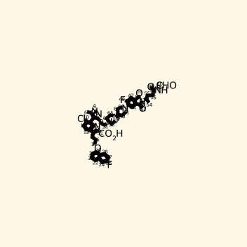 Cc1nn(C)c(C)c1-c1c(Cl)ccc2c(CCCOc3cccc4cc(F)ccc34)c(C(=O)O)n(CCN3CCN(C4CCN(c5cc6c(cc5F)C(=O)N(C(C)CCC(=O)NC=O)C6=O)CC4)CC3)c12